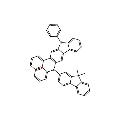 CC1(C)c2ccccc2-c2ccc(N(c3ccccc3)c3cc4c5ccccc5n(-c5ccccc5)c4cc3-c3ccccc3)cc21